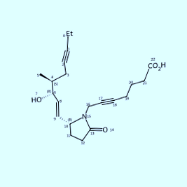 CCC#CC[C@H](C)[C@@H](O)C=C[C@H]1CCC(=O)N1CC#CCCCC(=O)O